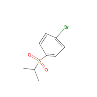 CC(C)S(=O)(=O)c1ccc(Br)cc1